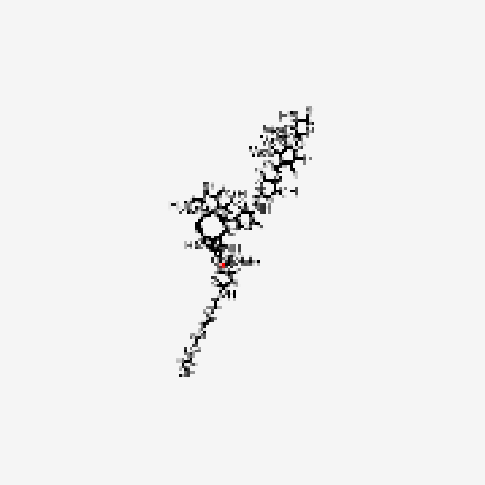 CCN(C(=O)CN)C1COCC(OC2C(O[C@H]3C#C/C=C\C#C[C@]4(O)CC(=O)C(NC(=O)OC)C3/C4=C\CSSC(C)(C)CC(=O)NCCOCCOCCOCCO)OC(C)C(NOC3CC(O)C(SC(=O)c4c(C)c(I)c(OC5(O)COC(C)C(O)C5OC)c(OC)c4OC)C(C)O3)C2O)C1OC